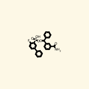 NC(=O)c1cccc(C(=O)c2ccccc2)c1.O=S(=O)(O)c1cc(-c2ccccc2)ccc1F